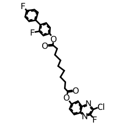 O=C(CCCCCCCCC(=O)Oc1ccc2nc(F)c(Cl)nc2c1)Oc1ccc(-c2ccc(F)cc2)c(F)c1